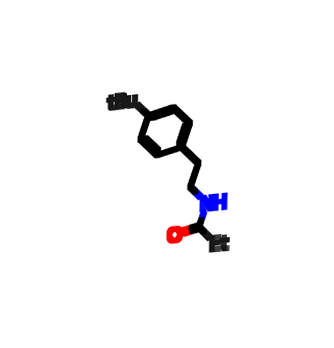 CCC(=O)NCCc1ccc(C(C)(C)C)cc1